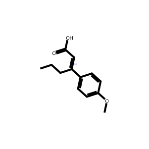 CCC/C(=C\C(=O)O)c1ccc(OC)cc1